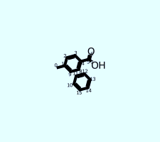 Cc1ccc(C(=O)O)cc1.c1ccccc1